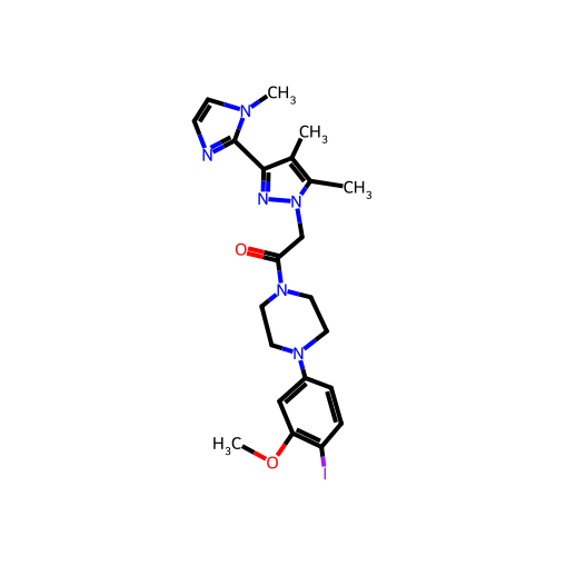 COc1cc(N2CCN(C(=O)Cn3nc(-c4nccn4C)c(C)c3C)CC2)ccc1I